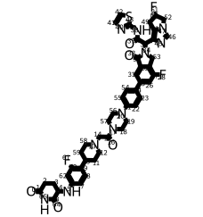 O=C1CCC(Nc2ccc(C3CCN(CC(=O)N4CCN(c5ccc(-c6cc(F)c7c(c6)C(=O)N(C(C(=O)Nc6nccs6)c6ncn8c6C[C@@H](F)C8)C7)cc5)CC4)CC3)c(F)c2)C(=O)N1